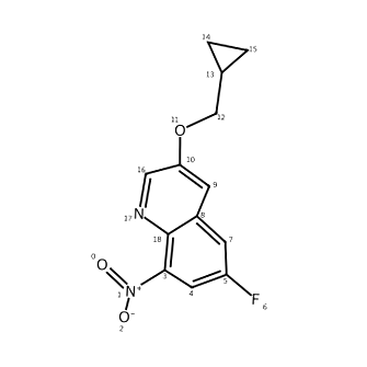 O=[N+]([O-])c1cc(F)cc2cc(OCC3CC3)cnc12